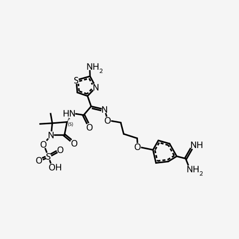 CC1(C)[C@H](NC(=O)C(=NOCCCOc2ccc(C(=N)N)cc2)c2csc(N)n2)C(=O)N1OS(=O)(=O)O